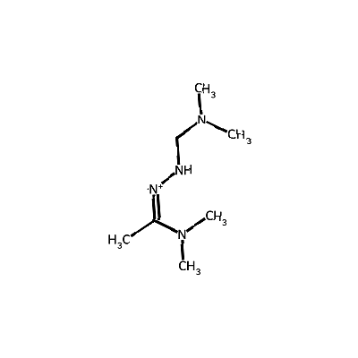 CC(=[N+]NCN(C)C)N(C)C